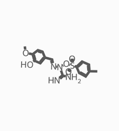 COc1ccc(C=NN(OS(=O)(=O)c2ccc(C)cc2)C(=N)N)cc1O